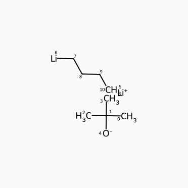 CC(C)(C)[O-].[Li+].[Li][CH2]CCC